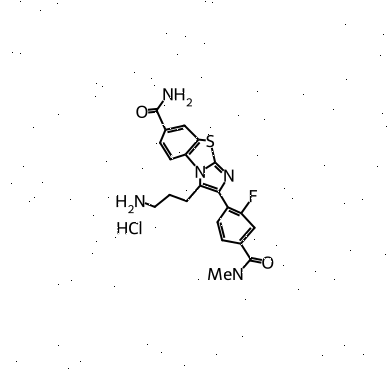 CNC(=O)c1ccc(-c2nc3sc4cc(C(N)=O)ccc4n3c2CCCN)c(F)c1.Cl